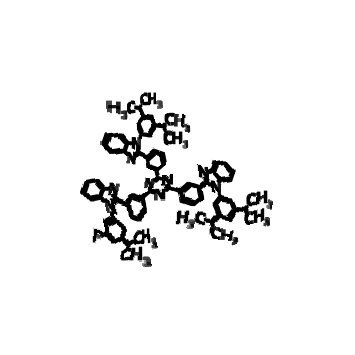 CC(C)c1cc(F)cc(-n2c(-c3cccc(-c4nc(-c5cccc(-c6nc7ccccc7n6-c6cc(C(C)C)cc(C(C)C)c6)c5)nc(-c5cccc(-c6nc7ccccc7n6-c6cc(C(C)C)cc(C(C)C)c6)c5)n4)c3)nc3ccccc32)c1